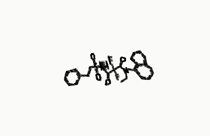 CCN(C(=O)C(F)(F)C(=O)NS(=O)(=O)C=Cc1ccccc1)c1cccc2ccccc12